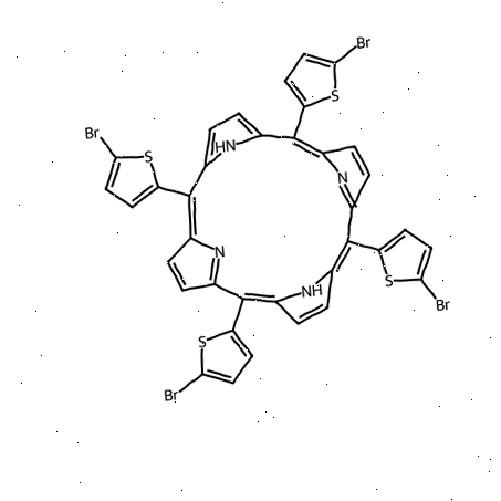 Brc1ccc(-c2c3nc(c(-c4ccc(Br)s4)c4ccc([nH]4)c(-c4ccc(Br)s4)c4nc(c(-c5ccc(Br)s5)c5ccc2[nH]5)C=C4)C=C3)s1